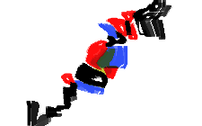 CCCCCC(=O)Nc1ccc(S(=O)(=O)NC(=O)c2ccc(OC(=O)OC(CC)CC)nc2)cc1